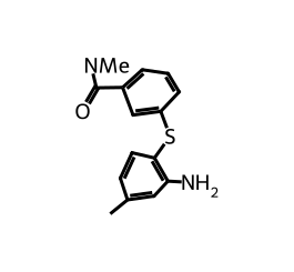 CNC(=O)c1cccc(Sc2ccc(C)cc2N)c1